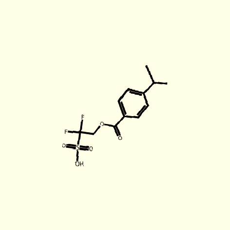 CC(C)c1ccc(C(=O)OCC(F)(F)S(=O)(=O)O)cc1